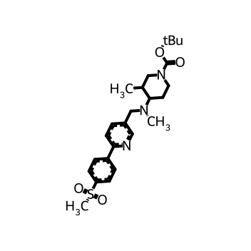 CC1CN(C(=O)OC(C)(C)C)CCC1N(C)Cc1ccc(-c2ccc(S(C)(=O)=O)cc2)nc1